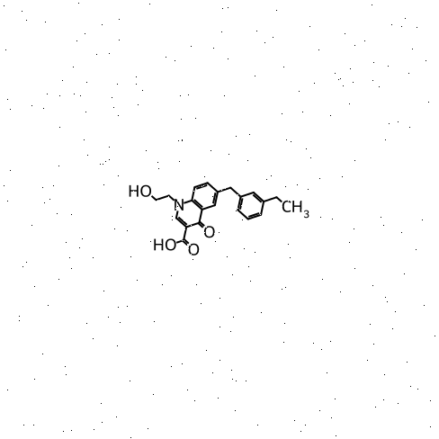 CCc1cccc(Cc2ccc3c(c2)c(=O)c(C(=O)O)cn3CCO)c1